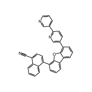 N#Cc1ccc(-c2cccc3c2oc2c(-c4ccc(-c5cccnc5)nc4)cccc23)c2ccccc12